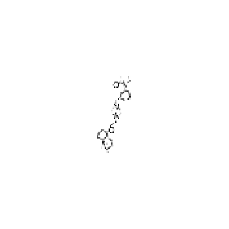 CCN(C(C)=O)c1cccc(CN2CCN(CCOc3cccc4nc(C)ccc34)CC2)c1